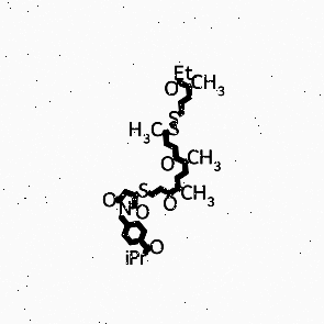 CCC(=O)C(C)CCCSSC(C)CCC(=O)C(C)CCC(C)C(=O)CCSC1CC(=O)N(CC2CCC(C(=O)C(C)C)CC2)C1=O